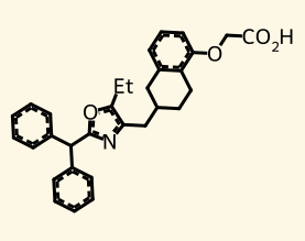 CCc1oc(C(c2ccccc2)c2ccccc2)nc1CC1CCc2c(cccc2OCC(=O)O)C1